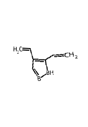 C=CC1=C(C=C)C=BB1